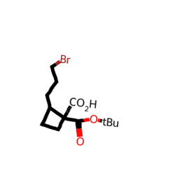 CC(C)(C)OC(=O)C1(C(=O)O)CCC1CCCBr